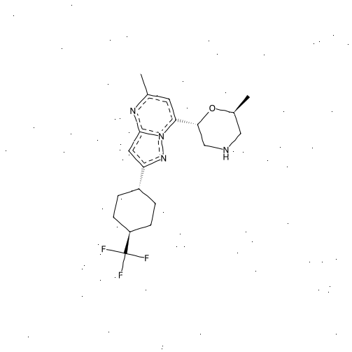 Cc1cc([C@H]2CNC[C@H](C)O2)n2nc([C@H]3CC[C@H](C(F)(F)F)CC3)cc2n1